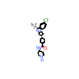 C[C@@H](N[C@H]1CC[C@@H](c2ccc(C(=O)NC3CCNCC3)cc2)C1)c1cccc(Cl)c1